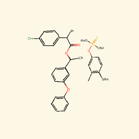 CC(C)C(C(=O)OC(C#N)c1cccc(Oc2ccccc2)c1)c1ccc(Cl)cc1.COP(=S)(OC)Oc1ccc(SC)c(C)c1